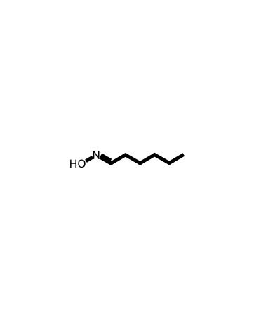 CCCCCC=NO